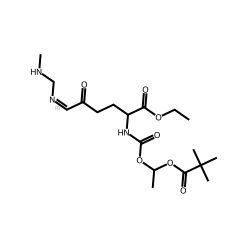 CCOC(=O)C(CCC(=O)/C=N\CNC)NC(=O)OC(C)OC(=O)C(C)(C)C